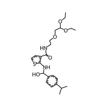 CCOC(COCCNC(=O)c1ccsc1NC(O)c1ccc(C(C)C)cc1)OCC